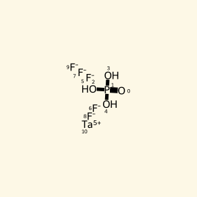 O=P(O)(O)O.[F-].[F-].[F-].[F-].[F-].[Ta+5]